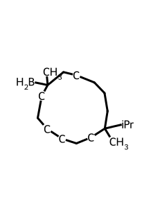 BC1(C)CCCCCCC(C)(C(C)C)CCCCC1